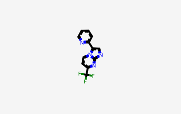 FC(F)(F)c1ccn2c(-c3ccccn3)cnc2n1